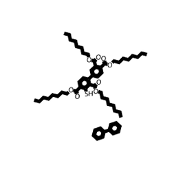 CCCCCCCCOC(=O)c1ccc(-c2ccc(C(=O)OCCCCCCCC)c(S)c2C(=O)OCCCCCCCC)cc1C(=O)OCCCCCCCC.c1ccc(-c2ccccc2)cc1